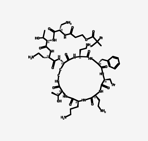 CCC(C)(C)C(=O)OCCC(=O)N[C@@H](CN)C(=O)N[C@H](C(=O)N[C@@H](CCN)C(=O)N[C@H]1CCNC(=O)[C@H]([C@H](C)O)NC(=O)[C@H](CCCN)NC(=O)[C@H](CCN)NC(=O)[C@H](CC(C)C)NC(=O)[C@@H](Cc2ccccc2)NC(=O)[C@H](CCN)NC1=O)C(C)O